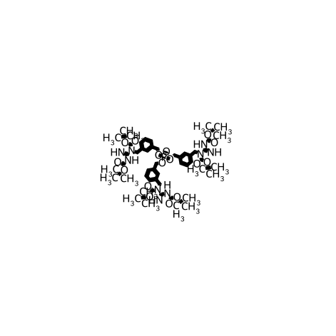 CC(C)(C)OC(=O)NC(=N)N(Cc1cccc(COP(=O)(OCc2cccc(CN(C(=N)NC(=O)OC(C)(C)C)C(=O)OC(C)(C)C)c2)OCc2cccc(CN(C(=N)NC(=O)OC(C)(C)C)C(=O)OC(C)(C)C)c2)c1)C(=O)OC(C)(C)C